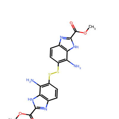 COC(=O)c1nc2ccc(SSc3ccc4nc(C(=O)OC)[nH]c4c3N)c(N)c2[nH]1